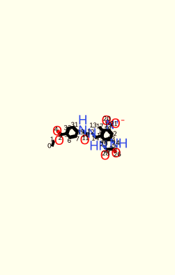 CCOC(=O)c1ccc(NC(=O)N(C)Cc2c(C)c([N+](=O)[O-])cc3[nH]c(=O)c(=O)[nH]c23)cc1